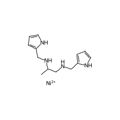 CC(CNCc1ccc[nH]1)NCc1ccc[nH]1.[Ni+2]